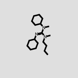 CCCCN(C)/C(=N\C1CCCCC1)N(C)C1CCCCC1